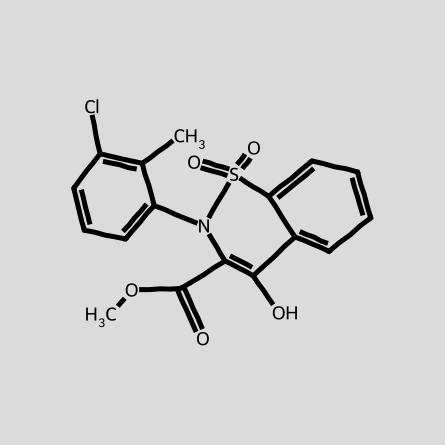 COC(=O)C1=C(O)c2ccccc2S(=O)(=O)N1c1cccc(Cl)c1C